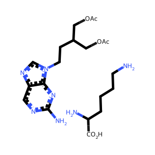 CC(=O)OCC(CCn1cnc2cnc(N)nc21)COC(C)=O.NCCCCC(N)C(=O)O